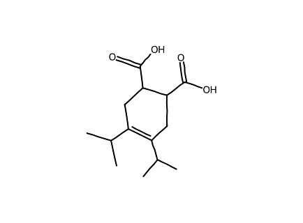 CC(C)C1=C(C(C)C)CC(C(=O)O)C(C(=O)O)C1